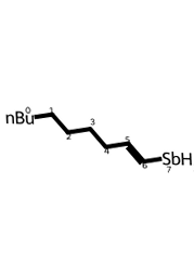 CCCCCCCCC=[CH][SbH2]